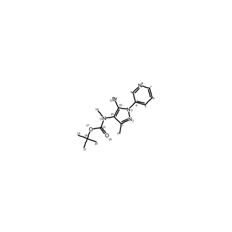 Cc1nn(-c2cccnc2)c(Br)c1N(C)C(=O)OC(C)(C)C